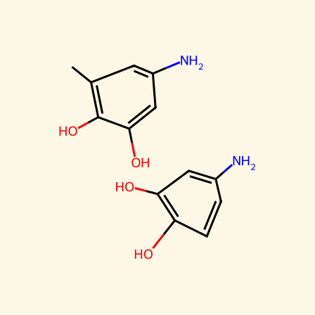 Cc1cc(N)cc(O)c1O.Nc1ccc(O)c(O)c1